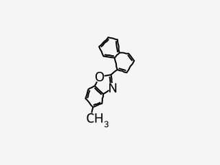 Cc1ccc2oc(-c3cccc4ccccc34)nc2c1